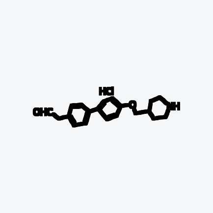 Cl.O=CCc1ccc(-c2ccc(OCC3CCNCC3)cc2)cc1